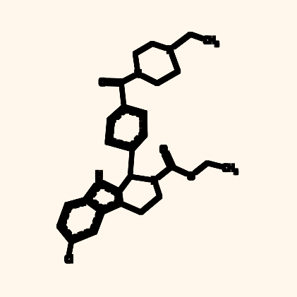 CCOC(=O)N1CCc2c([nH]c3ccc(Cl)cc23)C1c1ccc(C(=O)N2CCN(CC)CC2)cc1